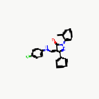 Cc1ccccc1N1N=C(c2ccccc2)C(=CNc2ccc(Cl)cc2)C1=O